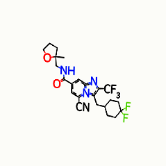 CC1(CNC(=O)c2cc(C#N)n3c(CC4CCC(F)(F)CC4)c(C(F)(F)F)nc3c2)CCCO1